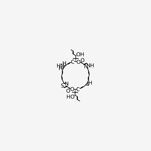 C/C=C/[C@H](O)C(C)(C)[C@@H]1C/C=C\[C@H]2N[C@H]2/C=C/C=C\c2nc(cs2)C(=O)O[C@H](C(C)(C)[C@@H](O)/C=C/C)C/C=C\C2C[C@H]2/C=C/C=C\c2nc(c[nH]2)C(=O)O1